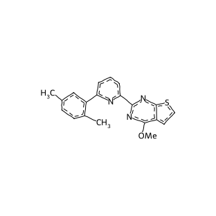 COc1nc(-c2cccc(-c3cc(C)ccc3C)n2)nc2sccc12